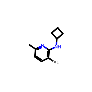 CC(=O)c1ccc(C)nc1NC1CCC1